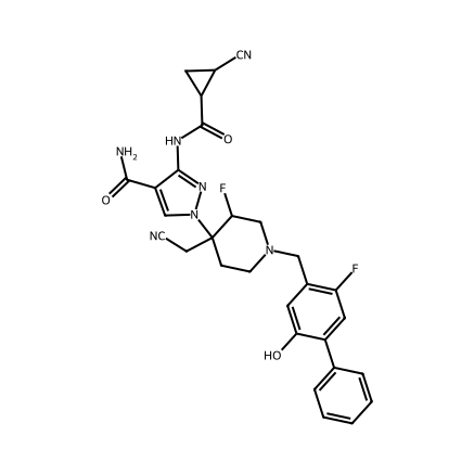 N#CCC1(n2cc(C(N)=O)c(NC(=O)C3CC3C#N)n2)CCN(Cc2cc(O)c(-c3ccccc3)cc2F)CC1F